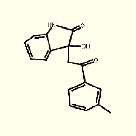 Cc1cccc(C(=O)CC2(O)C(=O)Nc3ccccc32)c1